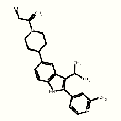 C=C(CCl)N1CCC(c2ccc3[nH]c(-c4ccnc(C)c4)c(C(C)C)c3c2)CC1